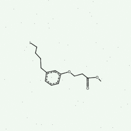 COC(=O)CCOc1cccc(CCCCI)c1